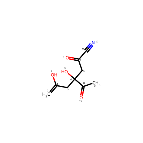 C=C(O)CC(O)(CC(=O)C#N)C(C)=O